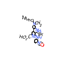 COCCN(C)c1ccc(-c2cc(C(=O)O)nc(Nc3cccc(N4CCOCC4)c3)c2C(=N)C(C)C)cc1